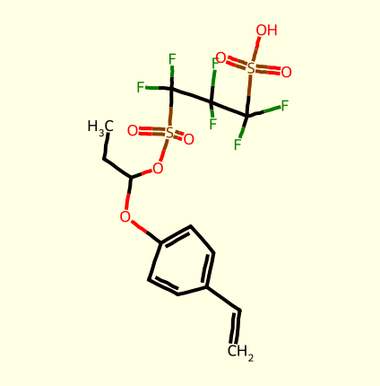 C=Cc1ccc(OC(CC)OS(=O)(=O)C(F)(F)C(F)(F)C(F)(F)S(=O)(=O)O)cc1